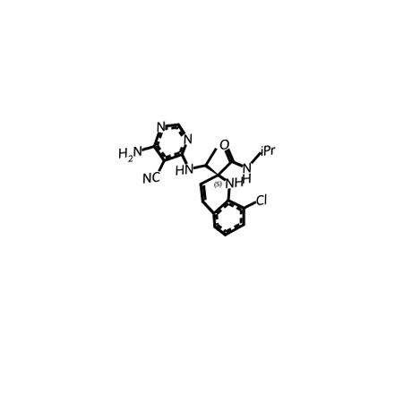 CC(C)NC(=O)[C@@]1(C(C)Nc2ncnc(N)c2C#N)C=Cc2cccc(Cl)c2N1